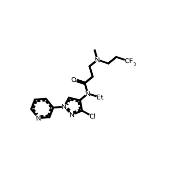 CCN(C(=O)CCN(C)CCC(F)(F)F)c1cn(-c2cccnc2)nc1Cl